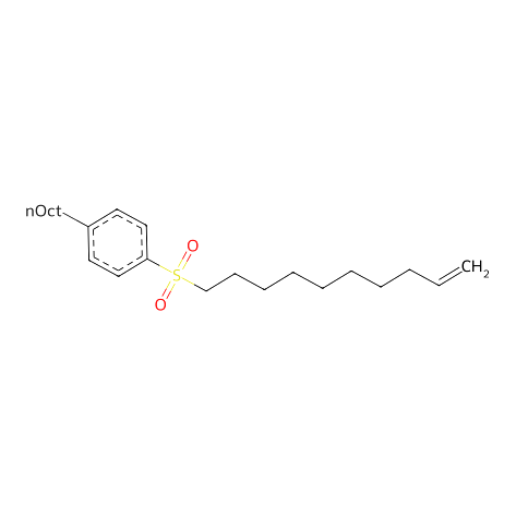 C=CCCCCCCCCS(=O)(=O)c1ccc(CCCCCCCC)cc1